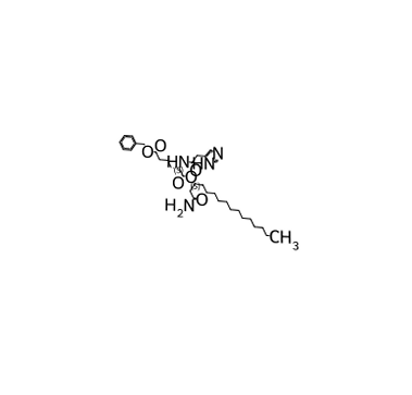 CCCCCCCCCCCCC[C@@H](CC(N)=O)OC(=O)[C@H](CCCC(=O)OCc1ccccc1)NC(=O)Cc1cnc[nH]1